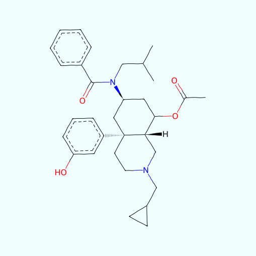 CC(=O)OC1C[C@H](N(CC(C)C)C(=O)c2ccccc2)C[C@]2(c3cccc(O)c3)CCN(CC3CC3)C[C@@H]12